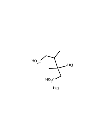 CC(CC(=O)O)C(C)(C)CC(=O)O.Cl.Cl